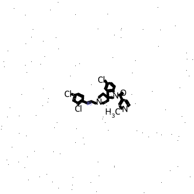 Cc1cc(C(=O)N2CC3(CCN(C/C=C/c4ccc(Cl)cc4Cl)CC3)c3cc(Cl)ccc32)ccn1